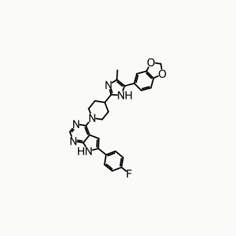 Cc1nc(C2CCN(c3ncnc4[nH]c(-c5ccc(F)cc5)cc34)CC2)[nH]c1-c1ccc2c(c1)OCO2